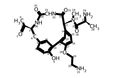 CC(=O)[C@@H]1Cc2ccc(O)c(c2)-c2cc(ccc2OCCN)[C@H](N(C)C(=O)[C@H](C)N)C(=O)NCC(=O)N1